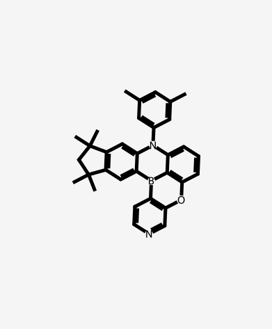 Cc1cc(C)cc(N2c3cc4c(cc3B3c5ccncc5Oc5cccc2c53)C(C)(C)CC4(C)C)c1